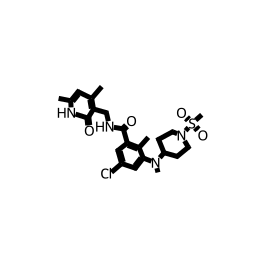 Cc1cc(C)c(CNC(=O)c2cc(Cl)cc(N(C)C3CCN(S(C)(=O)=O)CC3)c2C)c(=O)[nH]1